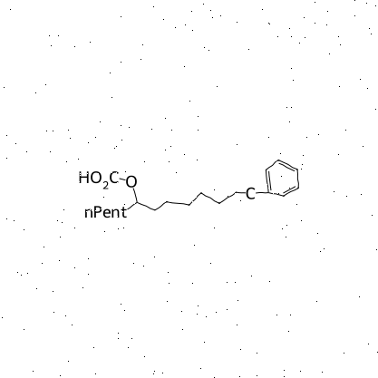 CCCCCC(CCCCCCCc1ccccc1)OC(=O)O